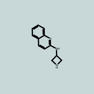 c1ccc2nc(NC3CNC3)ccc2c1